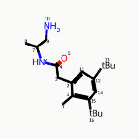 Cc1c(CC(=O)NC(C)CN)cc(C(C)(C)C)cc1C(C)(C)C